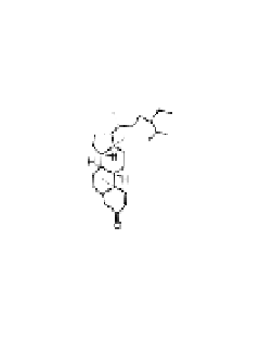 CC[C@H](CC[C@@H](C)[C@H]1CC[C@H]2[C@@H]3CCC4CC(=O)C=C[C@]4(C)[C@H]3CC[C@]12C)C(C)C